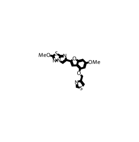 COc1cc(OCc2cscn2)c2cc(-c3cn4nc(OC)sc4n3)oc2c1